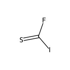 FC(=S)I